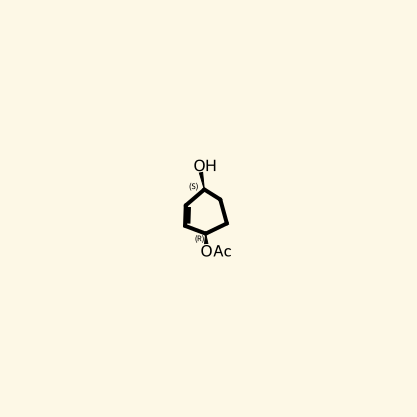 CC(=O)O[C@H]1C=C[C@@H](O)CC1